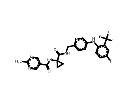 Cc1ncc(C(=O)NC2(C(=O)NCc3ccc(Nc4ccc(F)cc4C(F)(F)F)cn3)CC2)cn1